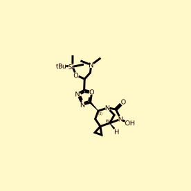 CN(C)CC(O[Si](C)(C)C(C)(C)C)c1nnc([C@@H]2CC3(CC3)[C@@H]3CN2C(=O)N3O)o1